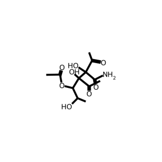 CC(=O)OC(C(C)O)C(O)(C(C)=O)C(O)(C(C)=O)C(N)=O